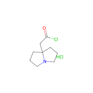 Cl.O=C(Cl)CC12CCCN1CCC2